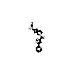 N#CNC1CC2(CCN(C(=O)c3cc(-c4ccccn4)no3)C2)C1